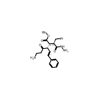 CC(C)C[C@@H](C(=O)NN)[C@@H](C(=O)OC(C)(C)C)C(/C=C/c1ccccc1)C(=O)CCN